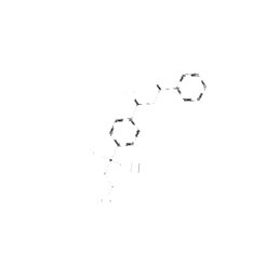 CC(C)(CCO)c1ccc(C(=O)CC(=O)c2ccccc2)cc1